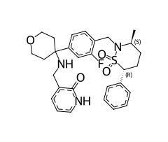 C[C@H]1CC[C@H](c2ccccc2)S(=O)(=O)N1Cc1ccc(C2(NCc3ccc[nH]c3=O)CCOCC2)cc1F